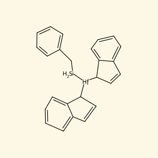 C1=C[CH]([Hf]([SiH2]Cc2ccccc2)[CH]2C=Cc3ccccc32)c2ccccc21